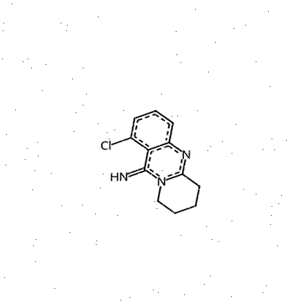 N=c1c2c(Cl)cccc2nc2n1CCCC2